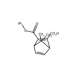 CC(C)OC(=O)C1=C(C(=O)O)C2C=CC1C2(C)C